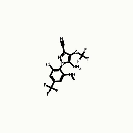 CNc1cc(C(F)(F)F)cc(Cl)c1-n1nc(C#N)c(SC(F)(F)F)c1N